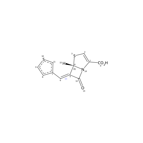 O=C(O)C1=CS[C@H]2/C(=C\c3ccsc3)C(=O)N12